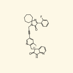 O=C1C(c2ccccc2F)=NC2(CCCCCC2)N1CC#Cc1cnc2c(c1)C[C@@]1(C2)C(=O)Nc2ncccc21